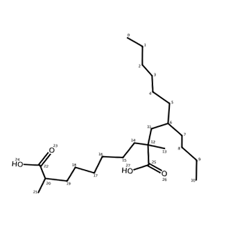 CCCCCCC(CCCC)CC(C)(CCCCCCC(C)C(=O)O)C(=O)O